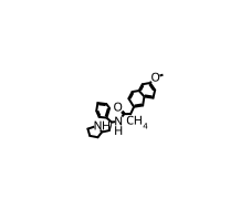 C.COc1ccc2cc(CC(=O)N[C@@H](CC3CCCN3)c3ccccc3)ccc2c1